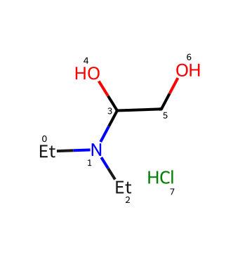 CCN(CC)C(O)CO.Cl